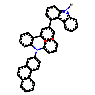 CCn1c2ccccc2c2c(-c3cccc(-c4ccccc4N(c4ccccc4)c4ccc5c(ccc6ccccc65)c4)c3)cccc21